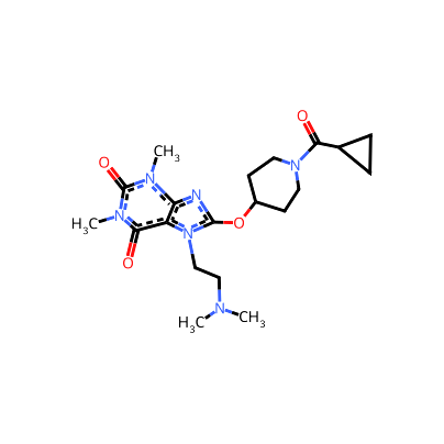 CN(C)CCn1c(OC2CCN(C(=O)C3CC3)CC2)nc2c1c(=O)n(C)c(=O)n2C